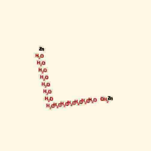 O.O.O.O.O.O.O.O.O.O.O.O.O.O.O.[Zn].[Zn]